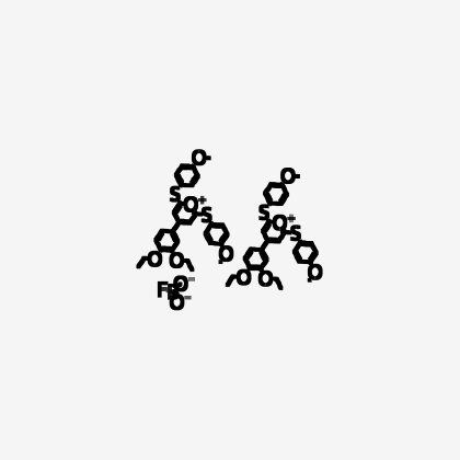 CCOc1ccc(-c2cc(Sc3ccc(OC)cc3)[o+]c(Sc3ccc(OC)cc3)c2)cc1OCC.CCOc1ccc(-c2cc(Sc3ccc(OC)cc3)[o+]c(Sc3ccc(OC)cc3)c2)cc1OCC.[O-]B([O-])F